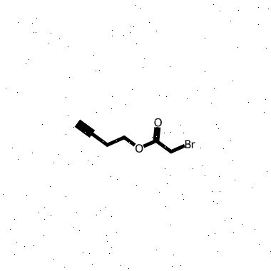 C#CCCOC(=O)CBr